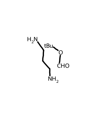 CC(C)(C)OC=O.NCCCN